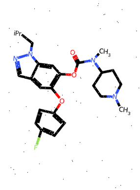 CC(C)Cn1ncc2cc(Oc3ccc(F)cc3)c(OC(=O)N(C)C3CCN(C)CC3)cc21